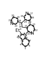 CCc1nc2ccccc2n1-c1ncccc1CC(c1cccnc1)c1cccnc1